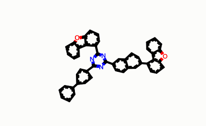 c1ccc(-c2ccc(-c3nc(-c4ccc5cc(-c6cccc7oc8ccccc8c67)ccc5c4)nc(-c4cccc5oc6ccccc6c45)n3)cc2)cc1